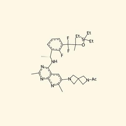 CC[Si](CC)(CC)OC(C)(C)C(F)(F)c1cccc([C@@H](C)Nc2nc(C)nc3nc(C)c(N4CC5(CN(C(C)=O)C5)C4)cc23)c1F